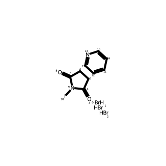 Br.Br.Br.O=C1CCC(=O)N1I.c1ccncc1